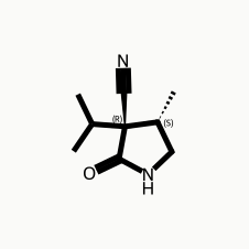 CC(C)[C@@]1(C#N)C(=O)NC[C@H]1C